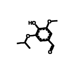 COc1cc(C=O)cc(OC(C)C)c1O